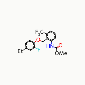 CCc1ccc(OCc2c(NC(=O)OC)cccc2C(F)(F)F)c(F)c1